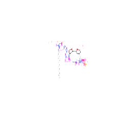 CCCCCCCCCCCCCCCC(=O)N(C)[C@H](CO)C(=O)N[C@H](C)C(=O)NCC(=O)N(C)[C@@H]1C(=O)N[C@@H](C)C(=O)N[C@H](C(=O)NS(C)(=O)=O)Cc2ccc(O)c(c2)-c2cc1ccc2C